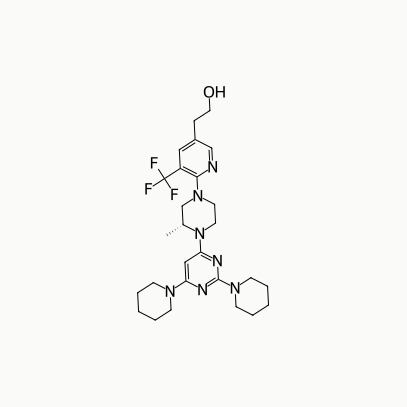 C[C@@H]1CN(c2ncc(CCO)cc2C(F)(F)F)CCN1c1cc(N2CCCCC2)nc(N2CCCCC2)n1